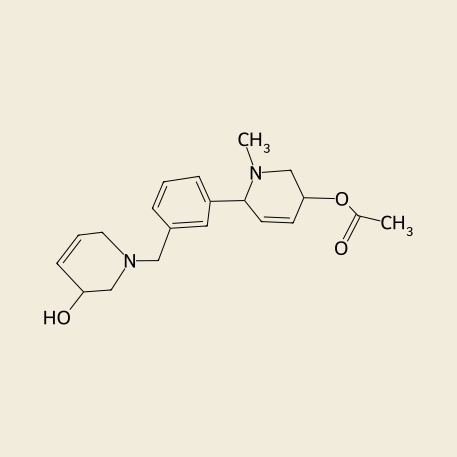 CC(=O)OC1C=CC(c2cccc(CN3CC=CC(O)C3)c2)N(C)C1